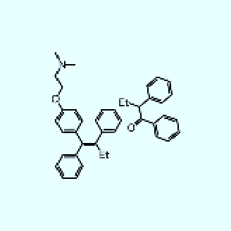 CC/C(=C(\c1ccccc1)c1ccc(OCCN(C)C)cc1)c1ccccc1.CCC(C(=O)c1ccccc1)c1ccccc1